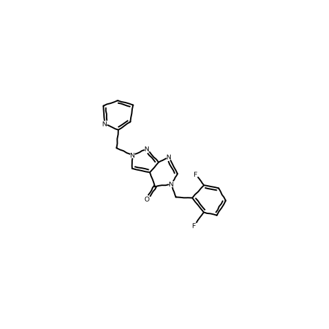 O=c1c2cn(Cc3ccccn3)nc2ncn1Cc1c(F)cccc1F